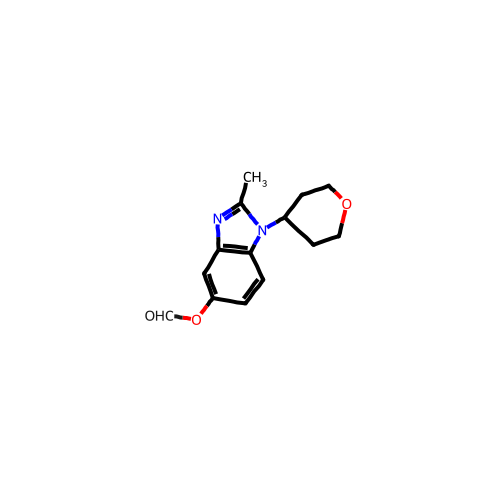 Cc1nc2cc(OC=O)ccc2n1C1CCOCC1